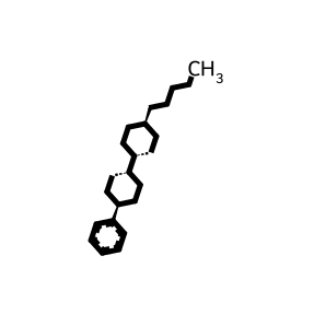 CCCCC[C@H]1CC[C@H]([C@H]2CC[C@H](c3ccccc3)CC2)CC1